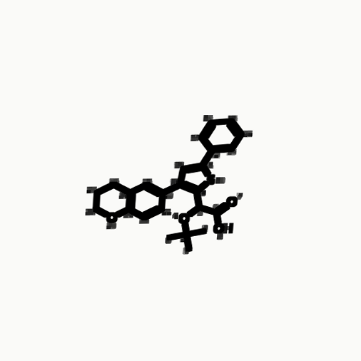 CC(C)(C)OC(C(=O)O)c1sc(-c2ccccc2)cc1-c1ccc2c(c1)CCCO2